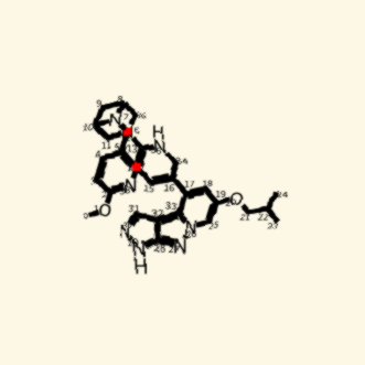 COc1ccc(CN2C3CC2CN(C2=CC=C(c4cc(OCC(C)C)cn5nc6[nH]ncc6c45)CN2)C3)cn1